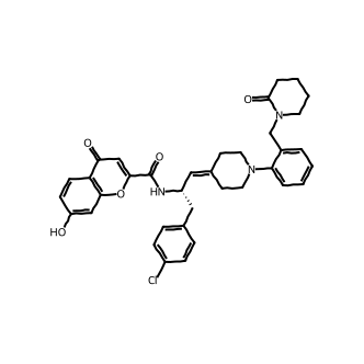 O=C(N[C@H](C=C1CCN(c2ccccc2CN2CCCCC2=O)CC1)Cc1ccc(Cl)cc1)c1cc(=O)c2ccc(O)cc2o1